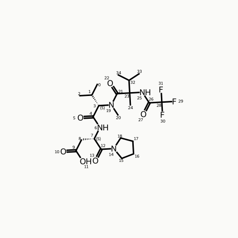 CC(C)[C@@H](C(=O)N[C@@H](CC(=O)O)C(=O)N1CCCC1)N(C)C(=O)C(C)(NC(=O)C(F)(F)F)C(C)C